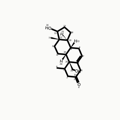 CC1CC(=O)CC2=CC[C@@H]3[C@@H](CC[C@]4(C)C(O)CC[C@@H]34)[C@]21CO